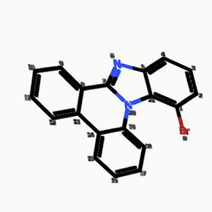 Brc1cccc2nc3c4ccccc4c4ccccc4n3c12